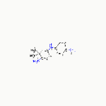 CC1(C)CC(NC2CCC(N)CC2)CCC1N